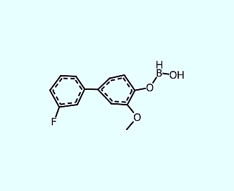 COc1cc(-c2cccc(F)c2)ccc1OBO